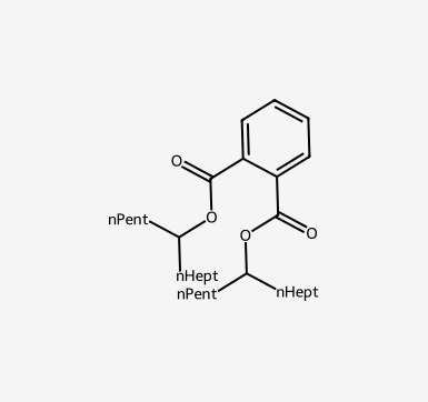 CCCCCCCC(CCCCC)OC(=O)c1ccccc1C(=O)OC(CCCCC)CCCCCCC